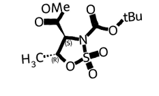 COC(=O)[C@@H]1[C@@H](C)OS(=O)(=O)N1C(=O)OC(C)(C)C